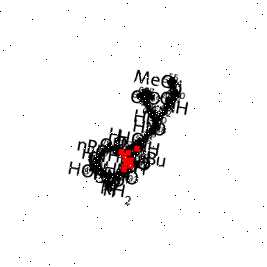 CCC[C@@H]1NC(=O)[C@@H]2C[C@@H](O)CN2C(=O)[C@H](CC(N)=O)NC(=O)[C@@H]2C[S+]([O-])c3[nH]c4cc(NC(=O)CCCNC(=O)[C@H](CCCCNC(=O)CC(C)(C)OCC(C)(C)OC)NC(=O)CCCN5C(=O)C=CC5=O)ccc4c3C[C@H](NC1=O)C(=O)NCC(=O)N[C@@H]([C@@H](C)CC)C(=O)NCC(=O)N2